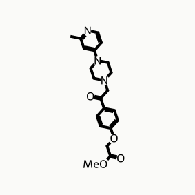 COC(=O)COc1ccc(C(=O)CN2CCN(c3ccnc(C)c3)CC2)cc1